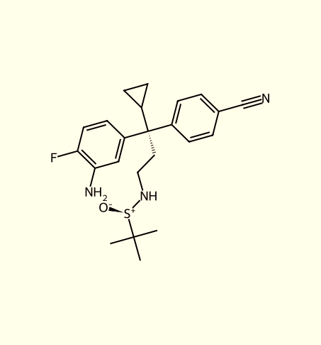 CC(C)(C)[S@@+]([O-])NCC[C@](c1ccc(C#N)cc1)(c1ccc(F)c(N)c1)C1CC1